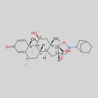 C[C@]12C=CC(=O)C=C1[C@@H](F)C[C@H]1[C@@H]3C[C@H]4CN(C5CC6CCC5C6)O[C@@]4(C(=O)O)[C@@]3(C)C[C@H](O)[C@@]12F